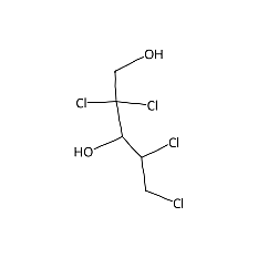 OCC(Cl)(Cl)C(O)C(Cl)CCl